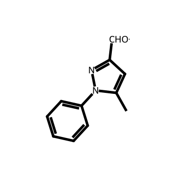 Cc1cc([C]=O)nn1-c1ccccc1